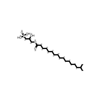 CC(C)CCCCCCCCCCCCCCC(=O)OCC(O)CP(=O)(O)O